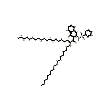 CCCCCCCCCCCCCCCCCCN(CCCCCCCCCCCCCCCCCC)C(=O)c1c(NS(=O)(=O)c2ccccc2)cc2ccccc2c1O